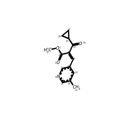 COC(=O)/C(=C\c1cncc(C)c1)C(=O)C1CC1